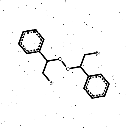 BrCC(OOC(CBr)c1ccccc1)c1ccccc1